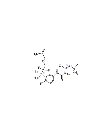 C=C(N)COCC(F)(F)[C@@](N)(CC)c1cc(NC(=O)C(=C)/C(Cl)=C\N(C)N)ccc1F